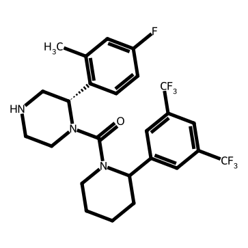 Cc1cc(F)ccc1[C@H]1CNCCN1C(=O)N1CCCCC1c1cc(C(F)(F)F)cc(C(F)(F)F)c1